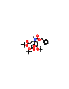 CN(C(=O)OCc1ccccc1)C(CCC(=O)OC(C)(C)C)(CCC(=O)OC(C)(C)C)CCC(=O)OC(C)(C)C